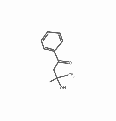 CC(O)(CC(=O)c1ccccc1)C(F)(F)F